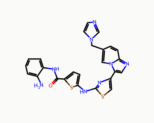 Nc1ccccc1NC(=O)c1ccc(Nc2nc(-c3cnc4ccc(Cn5ccnc5)cn34)cs2)s1